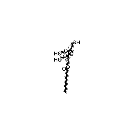 CCCCCCCCCCCC(=O)OCCOCC(OCCO)C1OCC(OCCO)[C@@H]1OCCO